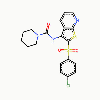 O=C(Nc1c(S(=O)(=O)c2ccc(Cl)cc2)sc2ncccc12)N1CCCCC1